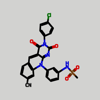 CS(=O)(=O)Nc1cccc(-n2c3nc(=O)n(-c4ccc(Cl)cc4)c(=O)c-3cc3ccc(C#N)cc32)c1